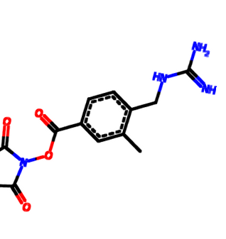 Cc1cc(C(=O)ON2C(=O)CCC2=O)ccc1CNC(=N)N